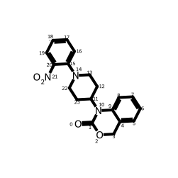 O=C1OCc2ccccc2N1C1CCN(c2cc[c]cc2[N+](=O)[O-])CC1